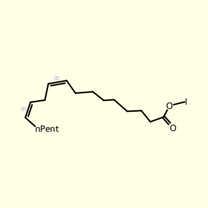 CCCCC/C=C\C/C=C\CCCCCCCC(=O)OI